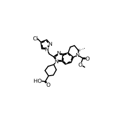 COC(=O)N1c2ccc3c(nc(Cn4cc(Cl)cn4)n3C3CCC(C(=O)O)CC3)c2CC[C@@H]1C